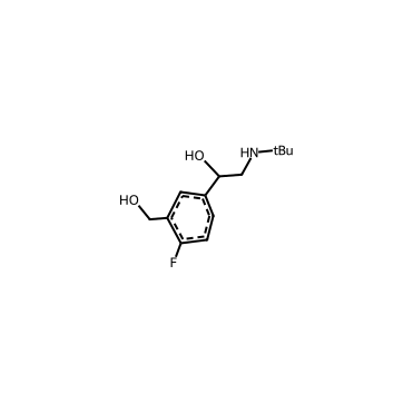 CC(C)(C)NCC(O)c1ccc(F)c(CO)c1